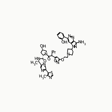 Cc1ncsc1-c1cnc([C@H](C)NC(=O)[C@@H]2C[C@@H](O)CN2C(=O)C(c2cc(OCCN3CCC(n4nc(N)c5nnc(-c6ccccc6O)cc54)CC3)no2)C(C)C)cn1